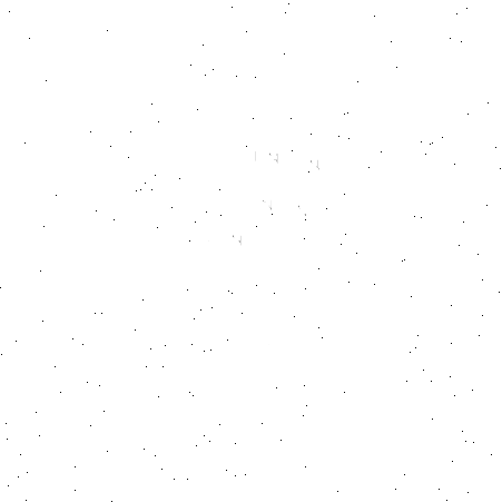 O=c1ccc2ccccc2n1N1CNN=N1